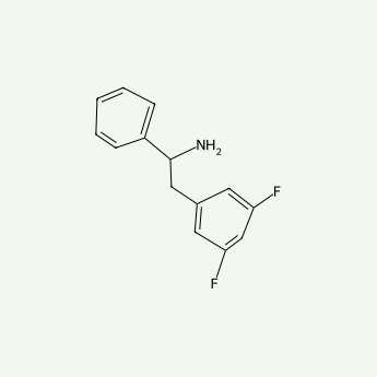 NC(Cc1cc(F)cc(F)c1)c1ccccc1